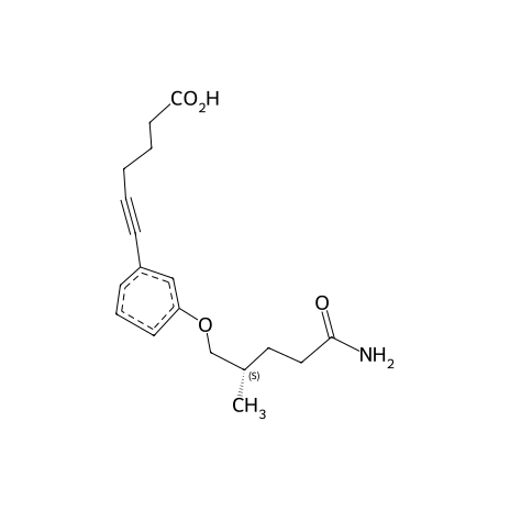 C[C@@H](CCC(N)=O)COc1cccc(C#CCCCC(=O)O)c1